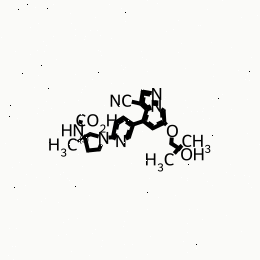 CC(C)(O)COc1cc(-c2ccc(N3CC[C@](C)(NC(=O)O)C3)nc2)c2c(C#N)cnn2c1